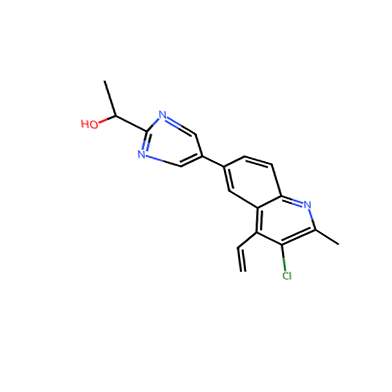 C=Cc1c(Cl)c(C)nc2ccc(-c3cnc(C(C)O)nc3)cc12